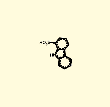 O=S(=O)(O)c1cccc2c1[nH]c1ccccc12